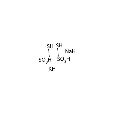 O=S(=O)(O)S.O=S(=O)(O)S.[KH].[NaH]